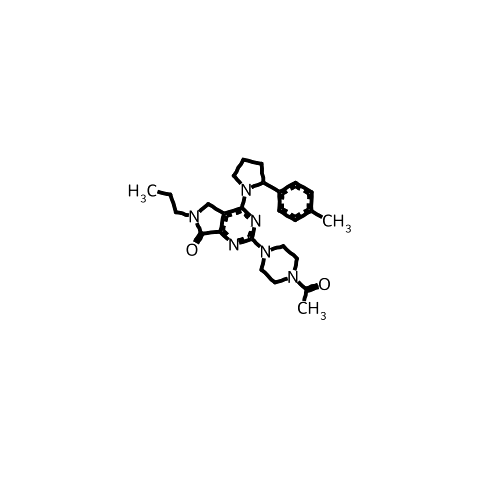 CCCN1Cc2c(nc(N3CCN(C(C)=O)CC3)nc2N2CCCC2c2ccc(C)cc2)C1=O